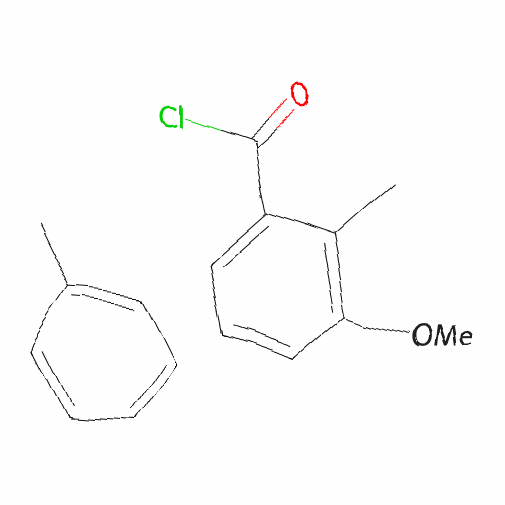 COc1cccc(C(=O)Cl)c1C.Cc1ccccc1